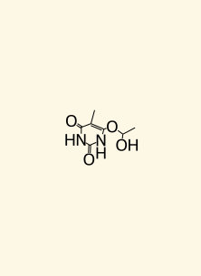 Cc1c(OC(C)O)[nH]c(=O)[nH]c1=O